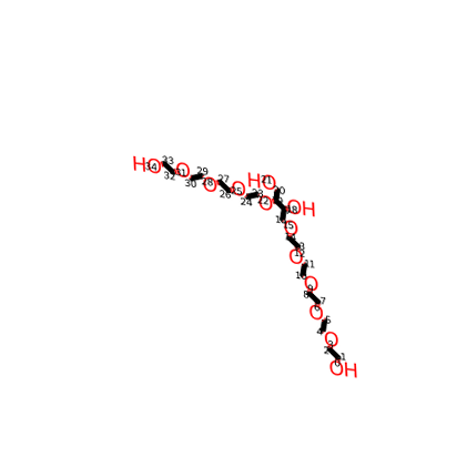 OCCOCCOCCOCCOCCOCC(O)C(CO)OCCOCCOCCOCCO